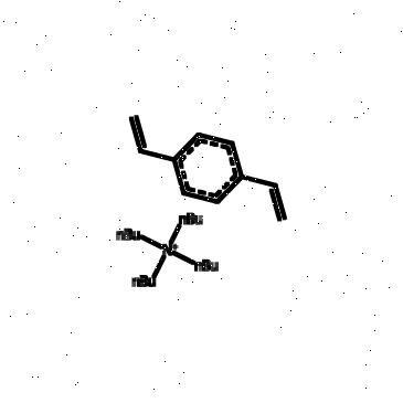 C=Cc1ccc(C=C)cc1.CCCC[N+](CCCC)(CCCC)CCCC